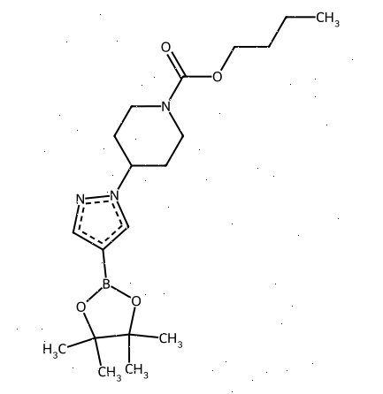 CCCCOC(=O)N1CCC(n2cc(B3OC(C)(C)C(C)(C)O3)cn2)CC1